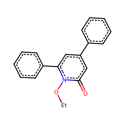 CCOn1c(-c2ccccc2)cc(-c2ccccc2)cc1=O